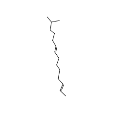 CC=CCCCCC=CCCCC(C)C